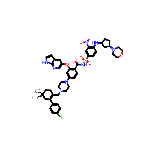 CC1(C)CCC(CN2CCN(c3ccc(C(=O)NS(=O)(=O)c4ccc(NC5CCC(N6CCOCC6)C5)c([N+](=O)[O-])c4)c(Oc4cnc5[nH]ccc5c4)c3)CC2)=C(c2ccc(Cl)cc2)C1